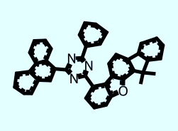 CC1(C)c2ccccc2-c2ccc3c(oc4cccc(-c5nc(-c6ccccc6)nc(-c6cc7ccccc7c7ccccc67)n5)c43)c21